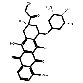 COc1cccc2c1C(=O)c1c(O)c3c(c(O)c1C2=O)C[C@@](O)(C(=O)CO)CC3OC1C[C@@H](C)[C@@H](O)[C@@H](N)C1